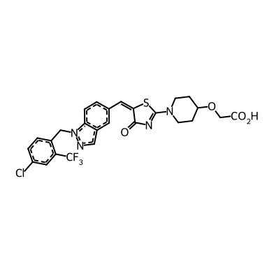 O=C(O)COC1CCN(C2=NC(=O)C(=Cc3ccc4c(cnn4Cc4ccc(Cl)cc4C(F)(F)F)c3)S2)CC1